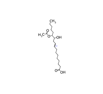 CCCCCC(OC(C)=O)C(O)C/C=C/CCCCCCCC(=O)O